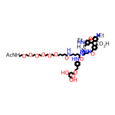 CC/N=c1\ccc2c(-c3cc(C(=O)NCc4cn(C(CCCCNC(=O)CCCCOCCOCCOCCOCCOCCOCCNC(C)=O)C(=O)Nc5ccc(CCO[C@@H]6C[C@H](O)C[C@H](O)O6)cc5)nn4)ccc3C(=O)O)c3cc(C)c(NCC)cc3oc-2c1